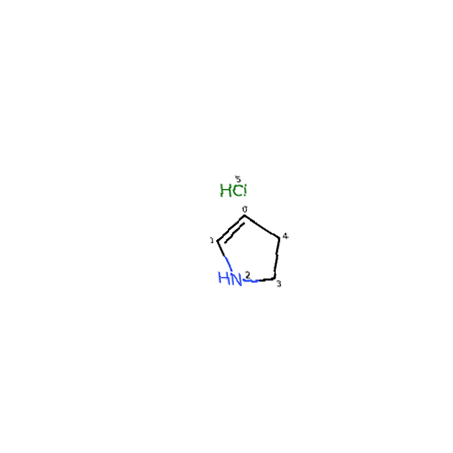 C1=CNCC1.Cl